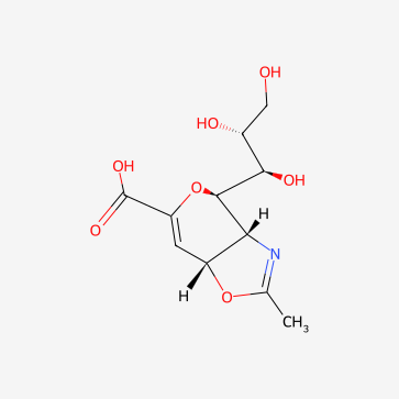 CC1=N[C@H]2[C@H]([C@H](O)[C@H](O)CO)OC(C(=O)O)=C[C@H]2O1